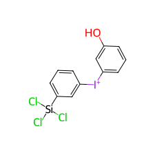 Oc1cccc([I+]c2cccc([Si](Cl)(Cl)Cl)c2)c1